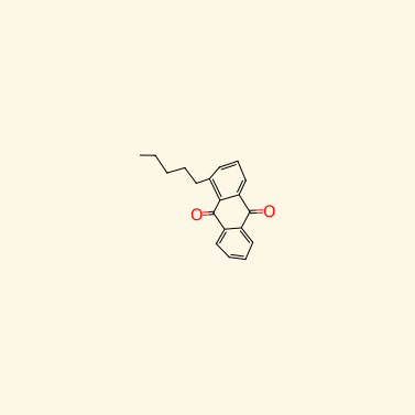 CCCCCc1cccc2c1C(=O)c1ccccc1C2=O